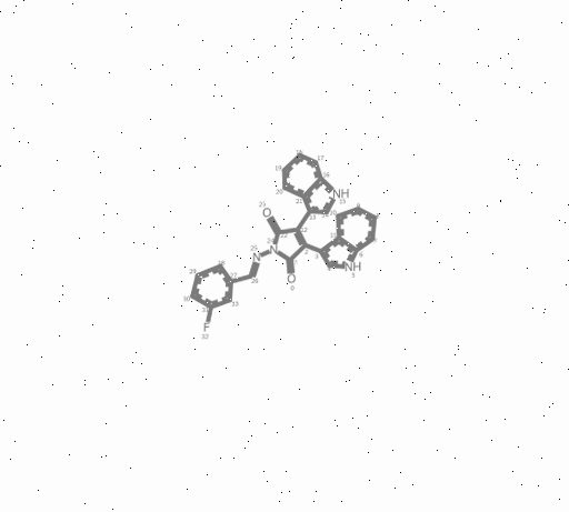 O=C1C(c2c[nH]c3ccccc23)=C(c2c[nH]c3ccccc23)C(=O)N1/N=C/c1cccc(F)c1